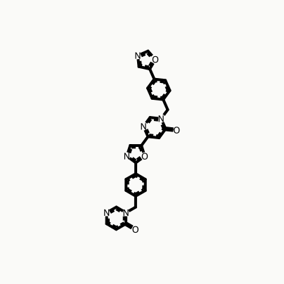 O=c1ccncn1Cc1ccc(-c2ncc(-c3cc(=O)n(Cc4ccc(-c5cnco5)cc4)cn3)o2)cc1